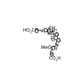 COc1cc(/C(F)=C/c2cccc(-c3cccc(NC(=O)c4nc5c(n4C)CCN(CCC46CCC(C(=O)O)(CC4)C6)C5)c3Cl)c2Cl)ncc1CN1CC[C@@H](C(=O)O)C1